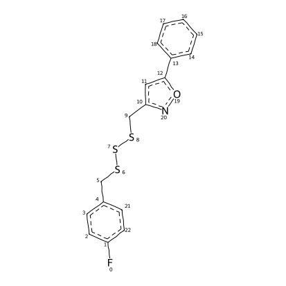 Fc1ccc(CSSSCc2cc(-c3ccccc3)on2)cc1